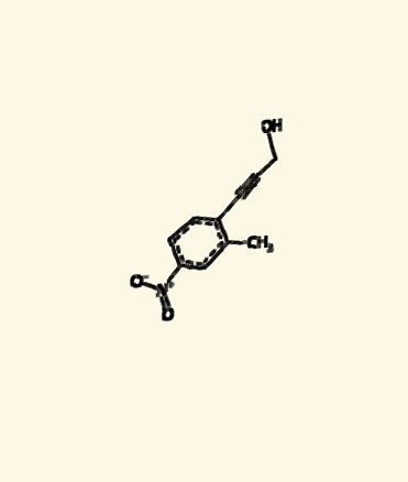 Cc1cc([N+](=O)[O-])ccc1C#CCO